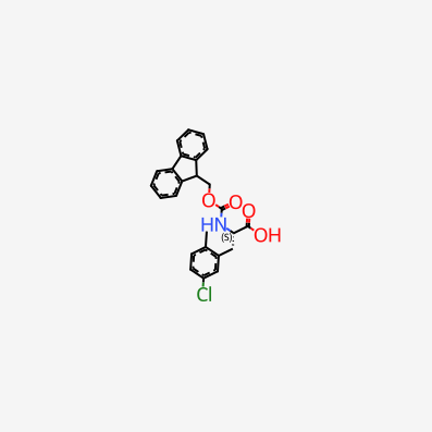 Cc1ccc(Cl)cc1C[C@H](NC(=O)OCC1c2ccccc2-c2ccccc21)C(=O)O